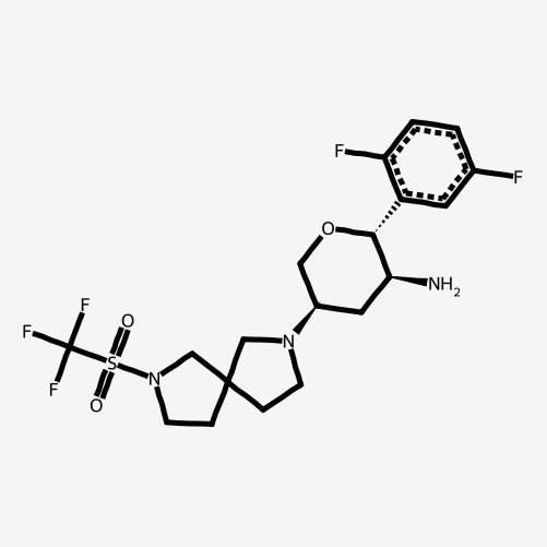 N[C@H]1C[C@@H](N2CCC3(CCN(S(=O)(=O)C(F)(F)F)C3)C2)CO[C@@H]1c1cc(F)ccc1F